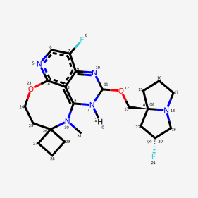 [2H]N1C2=c3c(ncc(F)c3=NC1OC[C@@]13CCCN1C[C@H](F)C3)OCCC1(CCC1)N2C